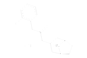 Cl.O=C(Cc1ccccc1F)CC1CC2CCC(C1)N2